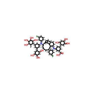 Cc1c(O)c(O)c(O)c(O)c1-c1cc(-c2cc(O)c(O)cc2O)cc(N(c2cccc(F)c2)c2cccccc3c(N(c4cccc(F)c4)c4cc(C(=O)O)cc(-c5cc(O)c(O)cc5O)c4)ccc4ccc2c(C)c43)c1